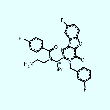 CC(C)[C@H](c1nc2c(oc3ccc(F)cc32)c(=O)n1Cc1cccc(F)c1)N(CCN)C(=O)c1ccc(Br)cc1